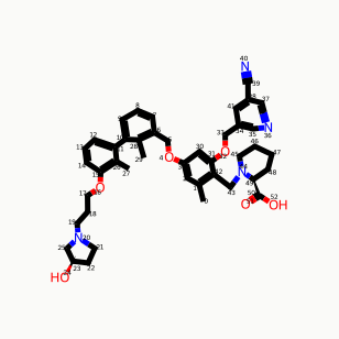 Cc1cc(OCc2cccc(-c3cccc(OCCCN4CC[C@@H](O)C4)c3C)c2C)cc(OCc2cncc(C#N)c2)c1CN1CCCC[C@H]1C(=O)O